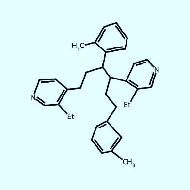 CCc1cnccc1CCC(c1ccccc1C)C(CCc1cccc(C)c1)c1ccncc1CC